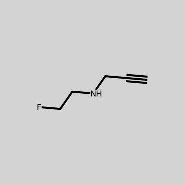 C#CCNCCF